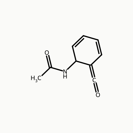 CC(=O)NC1C=CC=CC1=C=O